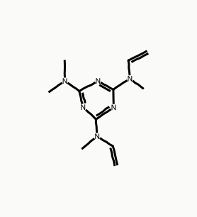 C=CN(C)c1nc(N(C)C)nc(N(C)C=C)n1